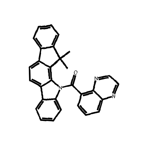 CC1(C)c2ccccc2-c2ccc3c4ccccc4n(C(=O)c4cccc5nccnc45)c3c21